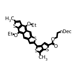 CCCCCCCCCCCCOC(=O)c1cc2c(-c3cc4cc5c(OCC)c6sc(C)cc6c(OCC)c5cc4s3)sc(C)c2s1